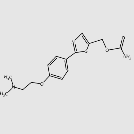 CN(C)CCOc1ccc(-c2ncc(COC(N)=O)s2)cc1